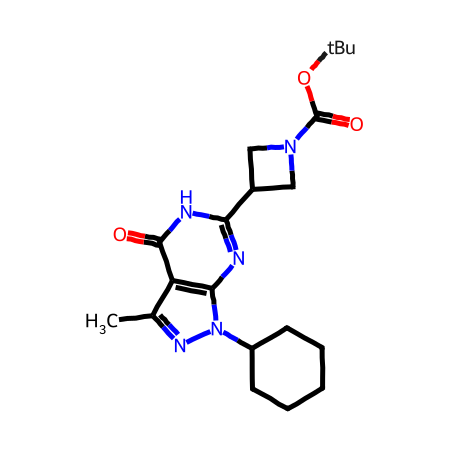 Cc1nn(C2CCCCC2)c2nc(C3CN(C(=O)OC(C)(C)C)C3)[nH]c(=O)c12